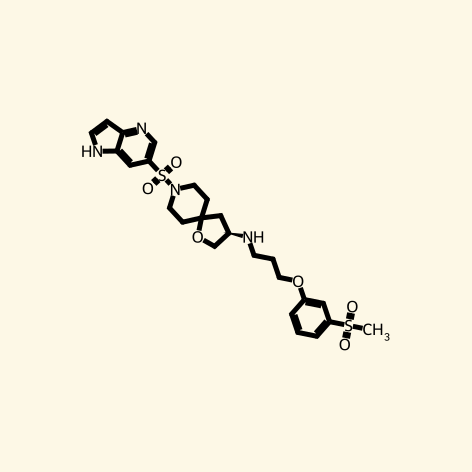 CS(=O)(=O)c1cccc(OCCCN[C@H]2COC3(CCN(S(=O)(=O)c4cnc5cc[nH]c5c4)CC3)C2)c1